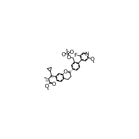 COC(=O)[C@@H](C)[C@H](c1ccc2c(c1)O[C@H](c1ccc(-c3cc(OC)ncc3F)c(COS(C)(=O)=O)c1)CC2)C1CC1